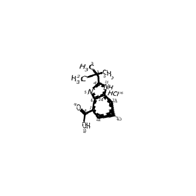 CC(C)(C)c1nc2c(C(=O)O)cccc2[nH]1.Cl